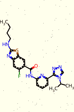 CCCCNc1nc2cc(F)c(C(=O)Nc3cccc(-c4nncn4C(C)C)n3)cc2s1